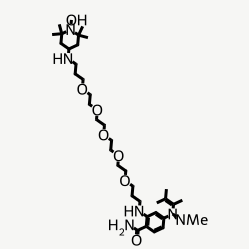 CNN(C(C)=C(C)C)c1ccc(C(N)=O)c(NCCCOCCOCCOCCOCCOCCCNC2CC(C)(C)N(O)C(C)(C)C2)c1